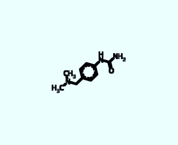 CN(C)Cc1ccc(NC(N)=O)cc1